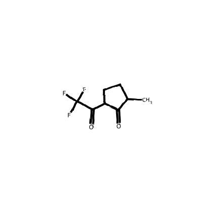 CC1CCC(C(=O)C(F)(F)F)C1=O